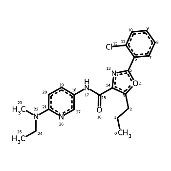 CCCc1oc(-c2ccccc2Cl)nc1C(=O)Nc1ccc(N(C)CC)nc1